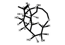 CC(=O)NC[C@H]1O[C@@H]2OCCO[C@H]3[C@H](O)[C@@H](O)[C@H](O[C@@H]3CO)C1[C@H](O)[C@H]2O